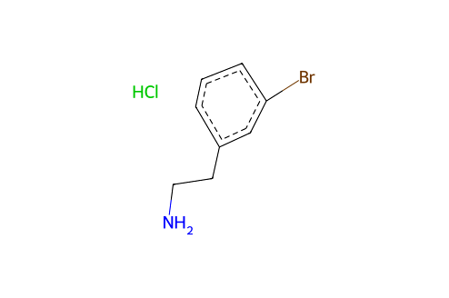 Cl.NCCc1cccc(Br)c1